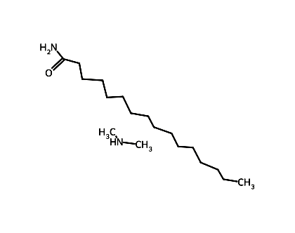 CCCCCCCCCCCCCCCC(N)=O.CNC